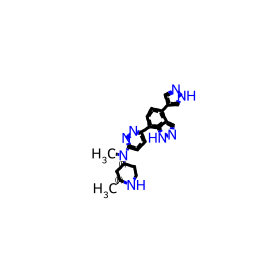 C[C@@H]1C[C@H](N(C)c2ccc(-c3ccc(-c4cn[nH]c4)c4cn[nH]c34)nn2)CCN1